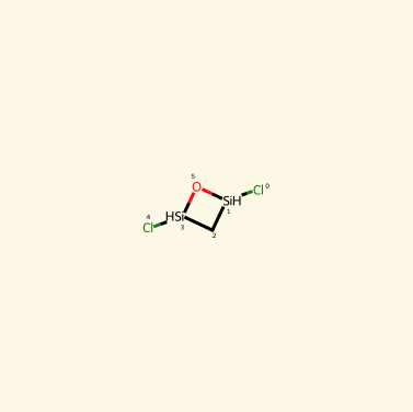 Cl[SiH]1C[SiH](Cl)O1